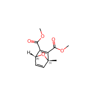 COC(=O)C1=C(C(=O)OC)[C@]2(C)C=C[C@H]1O2